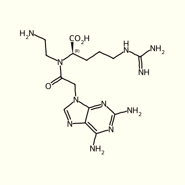 N=C(N)NCCC[C@H](C(=O)O)N(CCN)C(=O)Cn1cnc2c(N)nc(N)nc21